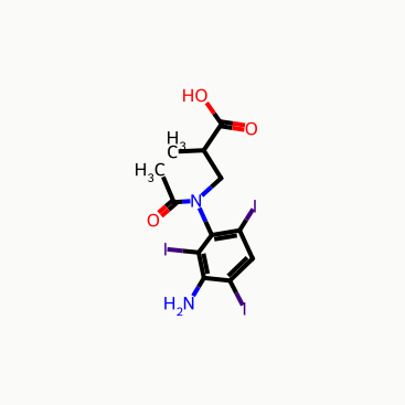 CC(=O)N(CC(C)C(=O)O)c1c(I)cc(I)c(N)c1I